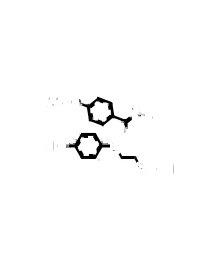 COc1ccc(/C(=N/O)C(F)(F)F)cc1.O=S(=O)(O)CCSc1ccc(O)cc1